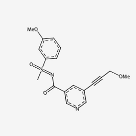 COCC#Cc1cncc(C(=O)N=S(C)(=O)c2cccc(OC)c2)c1